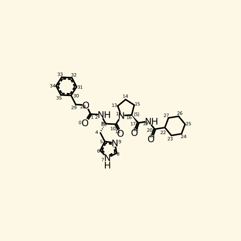 O=C(N[C@@H](Cc1c[nH]cn1)C(=O)N1CCC[C@H]1C(=O)NC(=O)C1CCCCC1)OCc1ccccc1